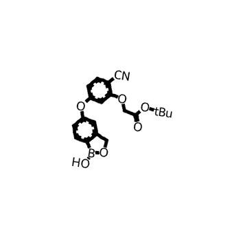 CC(C)(C)OC(=O)COc1cc(Oc2ccc3c(c2)COB3O)ccc1C#N